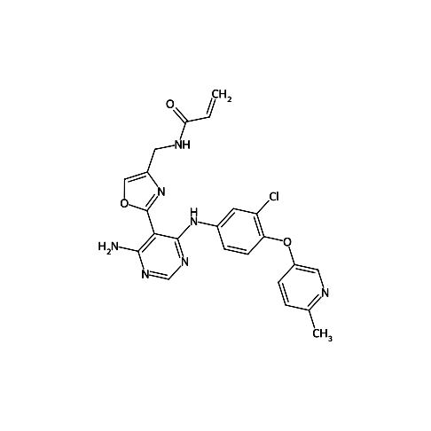 C=CC(=O)NCc1coc(-c2c(N)ncnc2Nc2ccc(Oc3ccc(C)nc3)c(Cl)c2)n1